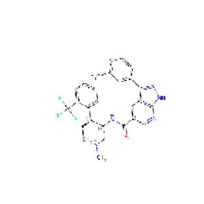 CC[C@@H](c1ccccc1C(F)(F)F)[C@@H](CNC)NC(=O)c1cnc2[nH]nc(-c3ccnc(C)c3)c2c1